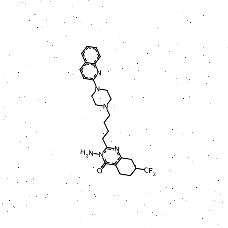 Nn1c(CCCCN2CCN(c3ccc4ccccc4n3)CC2)nc2c(c1=O)CCC(C(F)(F)F)C2